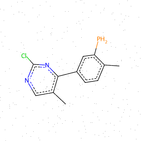 Cc1ccc(-c2nc(Cl)ncc2C)cc1P